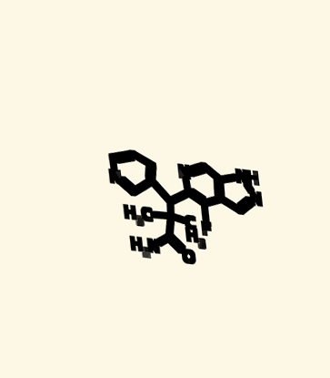 CC(C)(C(N)=O)C(c1cccnc1)c1ncc2[nH]ncc2c1F